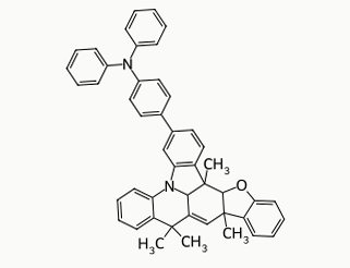 CC1(C)C2=CC3(C)c4ccccc4OC3C3(C)c4ccc(-c5ccc(N(c6ccccc6)c6ccccc6)cc5)cc4N(c4ccccc41)C23